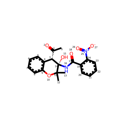 CC(=O)[C@H]1c2ccccc2OC(C)(C)[C@]1(O)NC(=O)c1ccccc1[N+](=O)[O-]